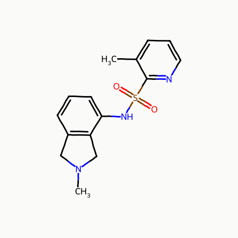 Cc1cccnc1S(=O)(=O)Nc1cccc2c1CN(C)C2